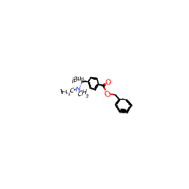 CC[C@@H](C)[C@H](c1ccc(C(=O)OCc2ccccc2)cc1)N(C)C